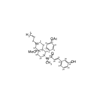 C=CCN1CC[C@@]2(c3cccc(OC(C)=O)c3)C[C@H](N(C)C(=O)C=Cc3cccc(O)c3)CC[C@]2(OC)C1